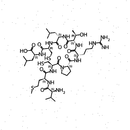 CSCC[C@H](NC(=O)[C@@H](N)C(C)C)C(=O)N[C@@H](CS)C(=O)N1CCC[C@H]1C(=O)N[C@@H](CCCNC(=N)N)C(=O)N[C@H](C(=O)N[C@@H](CC(C)C)C(=O)N[C@@H](CS)C(=O)N[C@@H](CC(C)C)C(=O)O)[C@@H](C)O